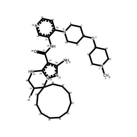 CN1CCC(OC2CCN(c3ccncc3NC(=O)c3c(N)nn4c3NCC(F)C43CCCCCCCCCC3)CC2)CC1